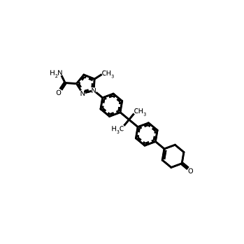 Cc1cc(C(N)=O)nn1-c1ccc(C(C)(C)c2ccc(C3=CCC(=O)CC3)cc2)cc1